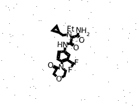 CCN(CC1CC1)[C@@H](C(N)=O)C(=O)Nc1ccc(N2CCOCC2=O)c(C(F)F)c1